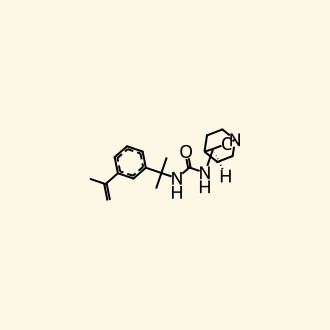 C=C(C)c1cccc(C(C)(C)NC(=O)N[C@@H]2CN3CCC2CC3)c1